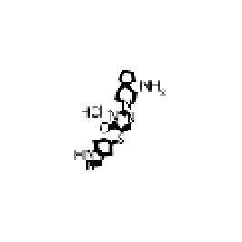 Cl.Cn1c(N2CCC3(CCC[C@H]3N)CC2)ncc(Sc2ccc3[nH]ncc3c2)c1=O